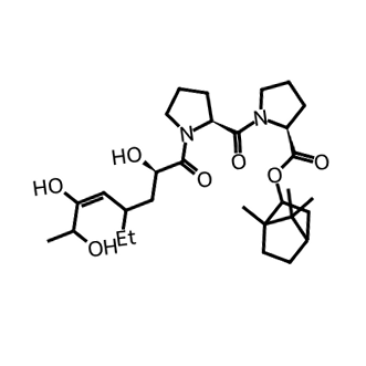 CCC(/C=C(/O)C(C)O)C[C@@H](O)C(=O)N1CCC[C@H]1C(=O)N1CCC[C@H]1C(=O)OC1CC2CCC1(C)C2(C)C